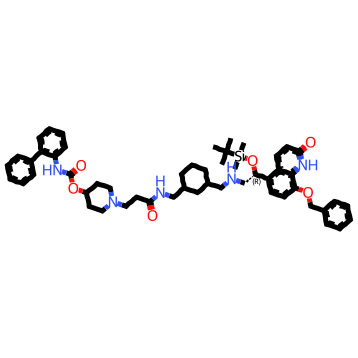 CC(C)(C)[Si](C)(C)O[C@@H](CNCC1CCCC(CNC(=O)CCN2CCC(OC(=O)Nc3ccccc3-c3ccccc3)CC2)C1)c1ccc(OCc2ccccc2)c2[nH]c(=O)ccc12